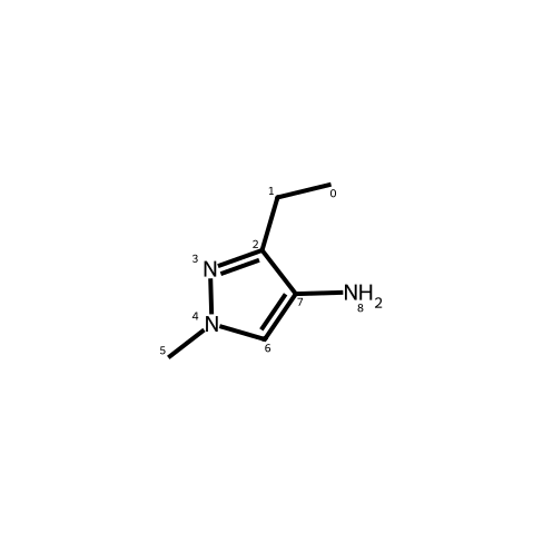 CCc1nn(C)cc1N